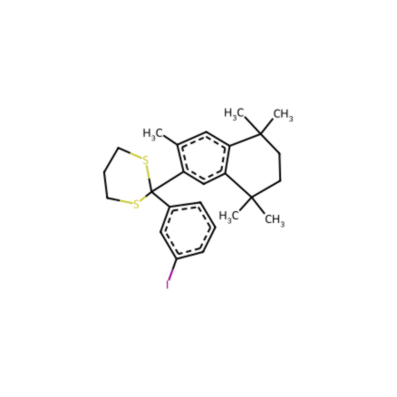 Cc1cc2c(cc1C1(c3cccc(I)c3)SCCCS1)C(C)(C)CCC2(C)C